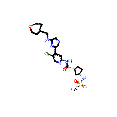 CS(=O)(=O)N[C@H]1CC[C@@H](C(=O)Nc2cc(-c3cncc(NCC4CCOCC4)n3)c(Cl)cn2)C1